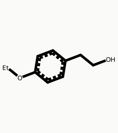 CCOc1ccc(CCO)cc1